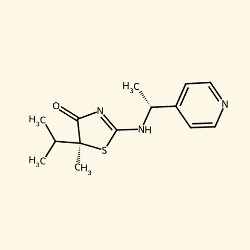 CC(C)[C@]1(C)SC(N[C@H](C)c2ccncc2)=NC1=O